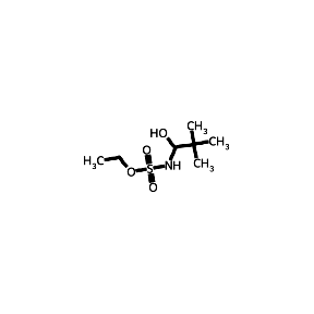 CCOS(=O)(=O)NC(O)C(C)(C)C